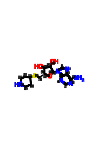 Nc1ncnc2c1ncn2[C@@H]1O[C@H](CSC2CCNCC2)C(O)C1O